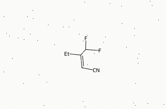 CCC(=CC#N)C(F)F